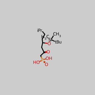 CC(C)CCC(CC(=O)CP(=O)(O)O)O[Si](C)(C)C(C)(C)C